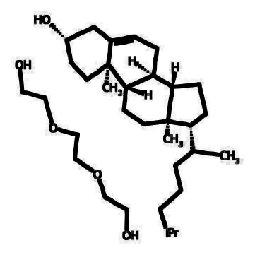 CC(C)CCCC(C)[C@H]1CC[C@H]2[C@@H]3CC=C4C[C@@H](O)CC[C@]4(C)[C@H]3CC[C@]12C.OCCOCCOCCO